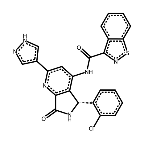 O=C1N[C@@H](c2ccccc2Cl)c2c(NC(=O)c3nsc4ccccc34)cc(-c3cn[nH]c3)nc21